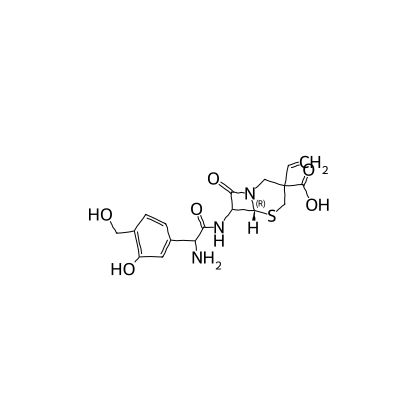 C=CC1(C(=O)O)CS[C@@H]2C(NC(=O)C(N)c3ccc(CO)c(O)c3)C(=O)N2C1